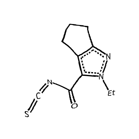 CCn1nc2c(c1C(=O)N=C=S)CCC2